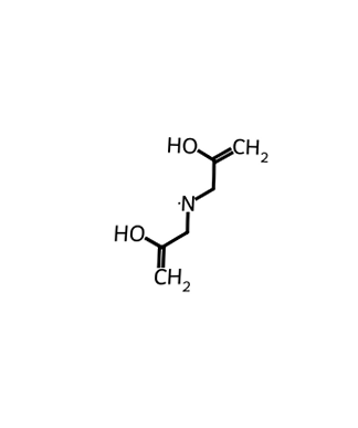 C=C(O)C[N]CC(=C)O